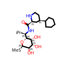 CS[C@H]1O[C@H]([C@H](NC(=O)[C@@H]2C[C@H](C3CCCCC3)CCN2)C(C)C)[C@H](O)[C@H](O)[C@H]1O